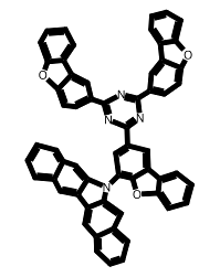 c1ccc2cc3c(cc2c1)c1cc2ccccc2cc1n3-c1cc(-c2nc(-c3ccc4oc5ccccc5c4c3)nc(-c3ccc4oc5ccccc5c4c3)n2)cc2c1oc1ccccc12